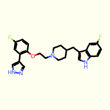 Fc1ccc(OCCN2CCC(Cc3c[nH]c4ccc(F)cc34)CC2)c(-c2cn[nH]c2)c1